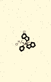 C[SiH](c1ccccc1)[Hf+2]([CH]1C=Cc2ccccc21)[CH]1C=Cc2ccccc21.[Cl-].[Cl-]